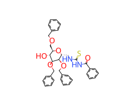 O=C(NC(=S)NC[C@H]1O[C@H](COCc2ccccc2)[C@@H](O)[C@H](OCc2ccccc2)[C@@H]1OCc1ccccc1)c1ccccc1